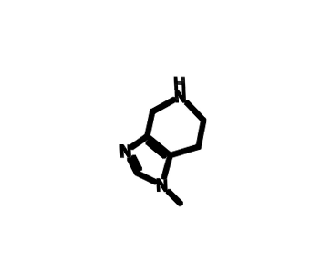 Cn1cnc2c1CCNC2